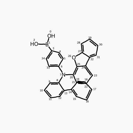 OB(O)c1ccc(N(c2ccccc2-c2ccccc2)c2cccc3c2oc2ccccc23)cc1